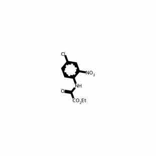 CCOC(=O)C(=O)Nc1ccc(Cl)cc1[N+](=O)[O-]